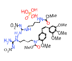 COC(=O)N(CCCCNC(N)=N[N+](=O)[O-])c1cc(/C=C\c2cc(OC)c(OC)c(OC)c2)ccc1OC.COC(=O)NCCCCNC(N)=N[N+](=O)[O-].O=P(O)(O)O